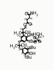 CC(C)(Sc1cc(C(C)(C)C)c(O)c(C(C)(C)C)c1)Sc1cc(C(C)(C)C)c(O)c(C(C)(C)CCOC(=O)CCC(N)=O)c1.CCS(=O)(=O)O